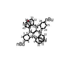 CCCCc1ccc2c(c1)N(c1cccnc1)/C(=C1\N(c3cccnc3)c3ccc(CCCC)cc3N1c1cccnc1)N2c1cccnc1